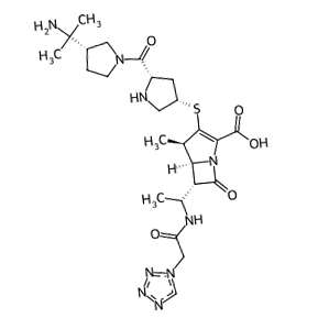 CC(NC(=O)Cn1cnnn1)[C@H]1C(=O)N2C(C(=O)O)=C(S[C@@H]3CN[C@H](C(=O)N4CC[C@H](C(C)(C)N)C4)C3)[C@H](C)[C@H]12